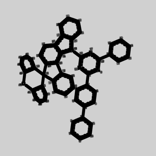 c1ccc(-c2ccc(-c3nc(-c4ccccc4)nc(-n4c5ccccc5c5ccc6c(c54)-c4ccccc4C64c5ccccc5Oc5ccccc54)n3)cc2)cc1